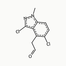 Cn1nc(Cl)c2c(CC=O)c(Cl)ccc21